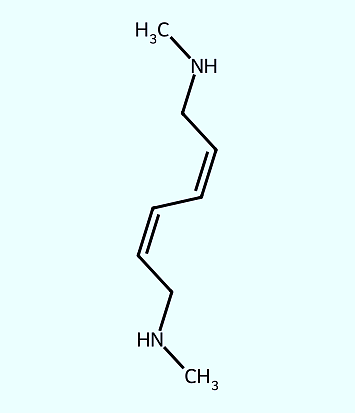 CNC/C=C\C=C/CNC